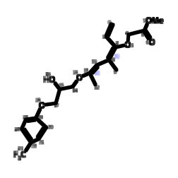 C=C/C(OCC(=O)OC)=C(C)\C=C(/C)OCC(O)COc1ccc(C(F)(F)F)cc1